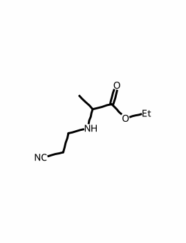 CCOC(=O)C(C)NCCC#N